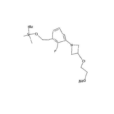 COCCOC1CN(c2cccc(CO[Si](C)(C)C(C)(C)C)c2F)C1